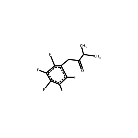 CC(C)C(=O)Cc1c(F)c(F)c(F)c(F)c1F